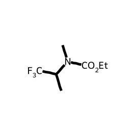 CCOC(=O)N(C)C(C)C(F)(F)F